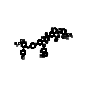 C[C@@H]1CN(C[C@H]2COc3cc(S(=O)(=O)NC(=O)c4ccc(N5CCN(CC6=C(c7ccc(Cl)cc7)CC(C)(C)CC6)CC5)cc4Oc4cnc5[nH]ccc5c4)cc([N+](=O)[O-])c3N2)CCN1C